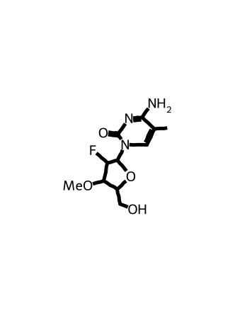 COC1C(CO)OC(n2cc(C)c(N)nc2=O)C1F